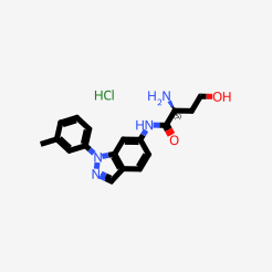 Cc1cccc(-n2ncc3ccc(NC(=O)[C@@H](N)CCO)cc32)c1.Cl